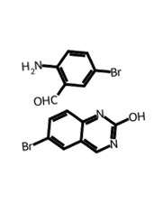 Nc1ccc(Br)cc1C=O.Oc1ncc2cc(Br)ccc2n1